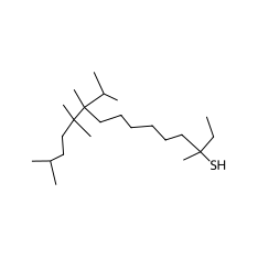 CCC(C)(S)CCCCCCC(C)(C(C)C)C(C)(C)CCC(C)C